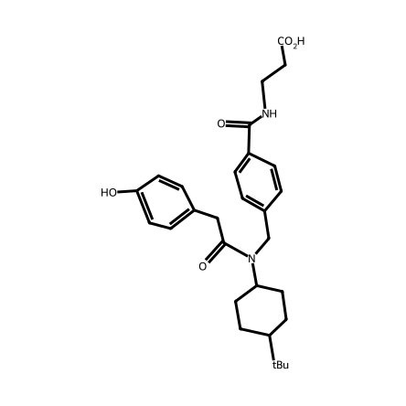 CC(C)(C)C1CCC(N(Cc2ccc(C(=O)NCCC(=O)O)cc2)C(=O)Cc2ccc(O)cc2)CC1